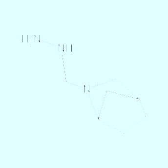 NNCN1CC2CCC1C2